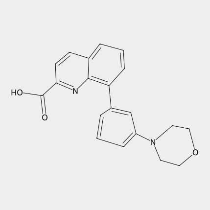 O=C(O)c1ccc2cccc(-c3cccc(N4CCOCC4)c3)c2n1